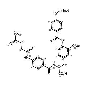 CCCCCCCOc1ccc(C(=O)Oc2ccc(CC(NC(=O)c3ccc(NC(=O)CCC(=O)OC)cc3)C(=O)O)cc2OC)cc1